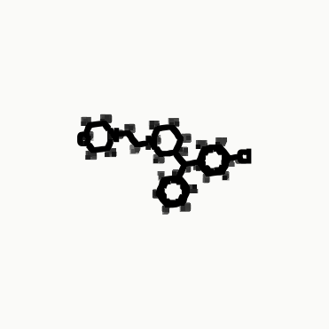 Clc1ccc(C(c2ccccc2)C2CCCN(CCN3CCOCC3)C2)cc1